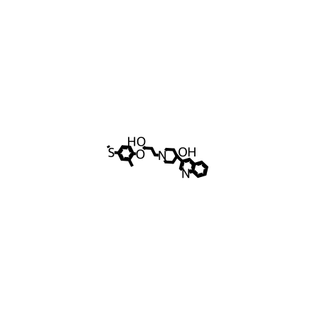 CSc1ccc(OC(O)CCN2CCC(O)(c3cnc4ccccc4c3)CC2)c(C)c1